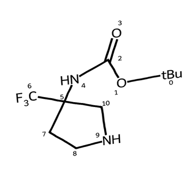 CC(C)(C)OC(=O)NC1(C(F)(F)F)CCNC1